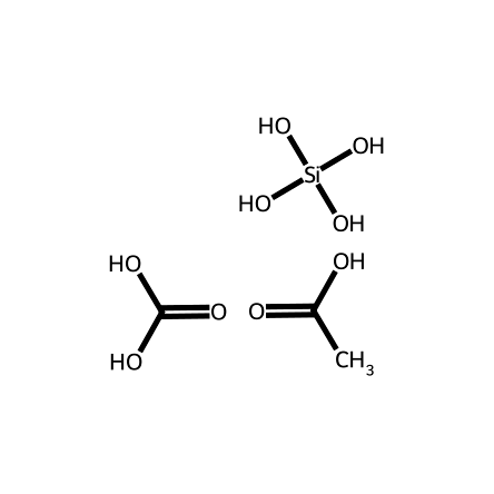 CC(=O)O.O=C(O)O.O[Si](O)(O)O